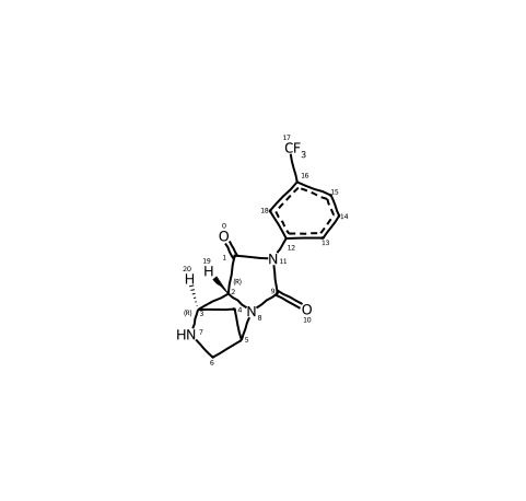 O=C1[C@H]2[C@H]3CC(CN3)N2C(=O)N1c1cccc(C(F)(F)F)c1